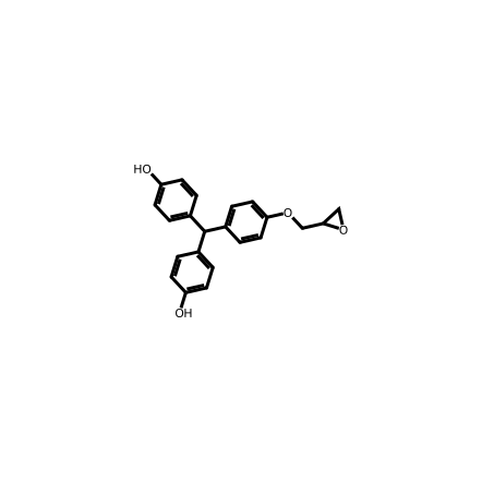 Oc1ccc(C(c2ccc(O)cc2)c2ccc(OCC3CO3)cc2)cc1